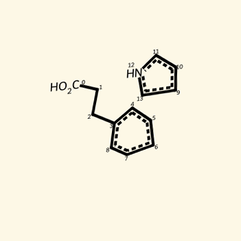 O=C(O)CCc1ccccc1.c1cc[nH]c1